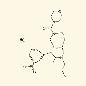 CCCN(CC1CCN(C(=O)N2CCOCC2)CC1)C(C)Cc1cccc([N+](=O)[O-])c1.Cl